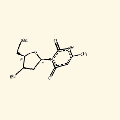 Cc1cc(=O)n([C@H]2CC(C(C)(C)C)[C@@H](CC(C)(C)C)O2)c(=O)[nH]1